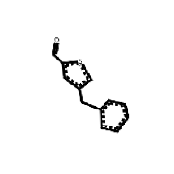 O=Cc1cc(Cc2ccccc2)cs1